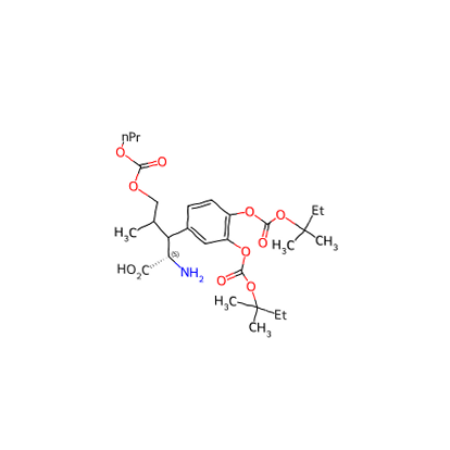 CCCOC(=O)OCC(C)C(c1ccc(OC(=O)OC(C)(C)CC)c(OC(=O)OC(C)(C)CC)c1)[C@H](N)C(=O)O